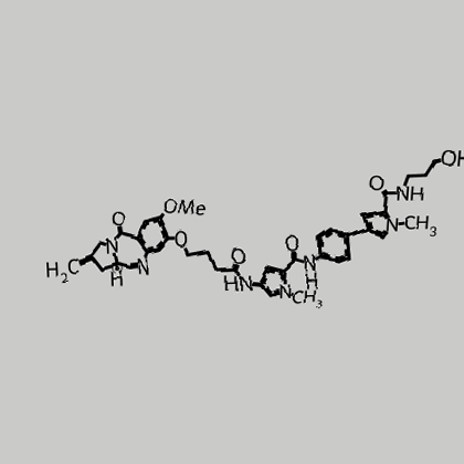 C=C1C[C@H]2C=Nc3cc(OCCCC(=O)Nc4cc(C(=O)Nc5ccc(-c6cc(C(=O)NCCCO)n(C)c6)cc5)n(C)c4)c(OC)cc3C(=O)N2C1